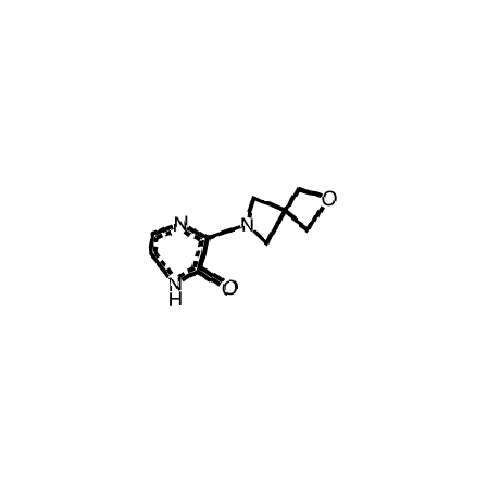 O=c1[nH]ccnc1N1CC2(COC2)C1